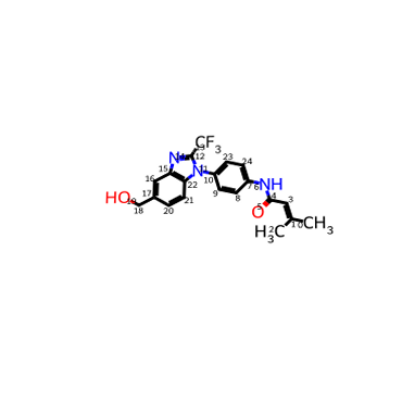 CC(C)=CC(=O)Nc1ccc(-n2c(C(F)(F)F)nc3cc(CO)ccc32)cc1